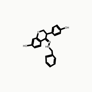 Oc1ccc(C2COc3cc(O)ccc3C2=NNCc2ccccc2)cc1